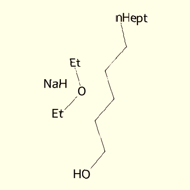 CCCCCCCCCCCCO.CCOCC.[NaH]